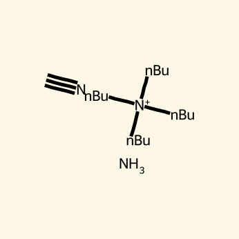 C#N.CCCC[N+](CCCC)(CCCC)CCCC.N